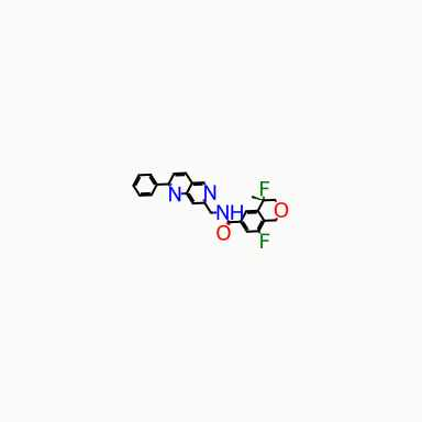 C[C@@]1(F)COCc2c(F)cc(C(=O)NCc3cc4nc(-c5ccccc5)ccc4cn3)cc21